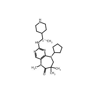 C[C@H](Nc1ncc2c(n1)N(C1CCCC1)CC(C)(C)C(=O)N2C)C1CCNCC1